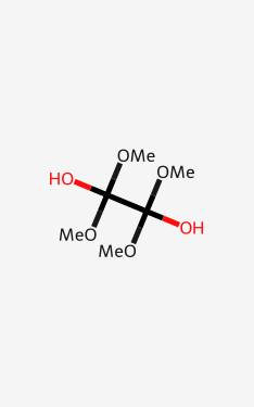 COC(O)(OC)C(O)(OC)OC